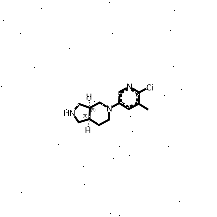 Cc1cc(N2CC[C@H]3CNC[C@H]3C2)cnc1Cl